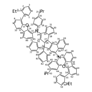 CCc1ccccc1-c1cccc2c1oc1c(N(c3ccc(C(C)C)cc3)c3cc4c(c5ccccc35)-c3c(cc(N(c5ccc(C(C)C)cc5)c5cccc6c5oc5c(-c7ccccc7CC)cccc56)c5ccccc35)C4(c3ccccc3)c3ccccc3)cccc12